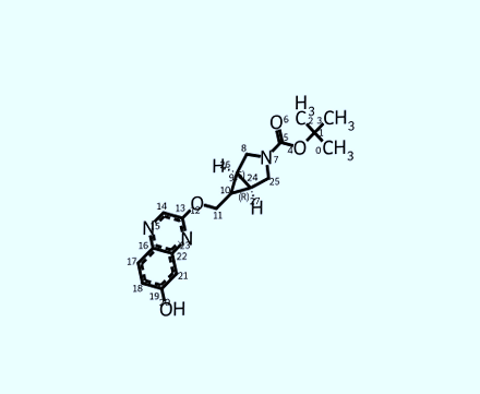 CC(C)(C)OC(=O)N1C[C@@H]2C(COc3cnc4ccc(O)cc4n3)[C@@H]2C1